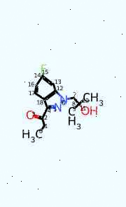 CCC(=O)c1nn(CC(C)(C)O)c2cc(F)ccc12